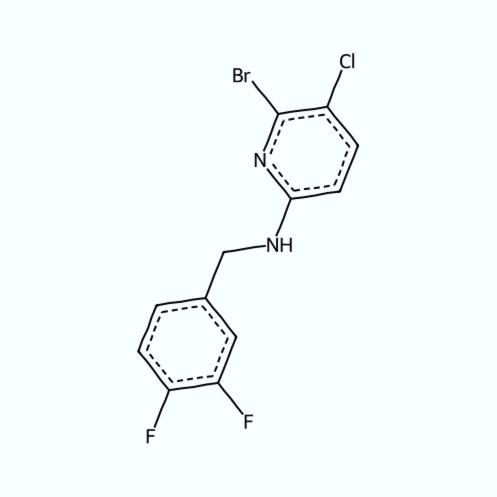 Fc1ccc(CNc2ccc(Cl)c(Br)n2)cc1F